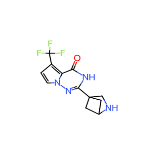 O=c1[nH]c(C23CNC(C2)C3)nn2ccc(C(F)(F)F)c12